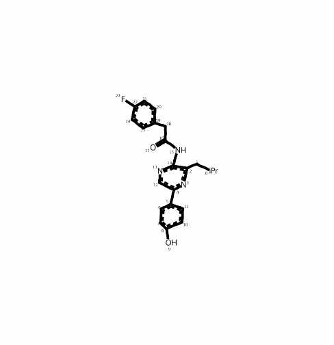 CC(C)Cc1nc(-c2ccc(O)cc2)cnc1NC(=O)Cc1ccc(F)cc1